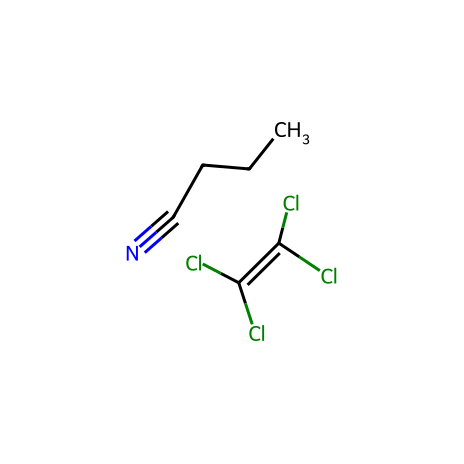 CCCC#N.ClC(Cl)=C(Cl)Cl